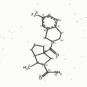 CC1C2CCCC2(C(=O)N2CCc3ncc(C(F)(F)F)cc3C2)CN1C(N)=O